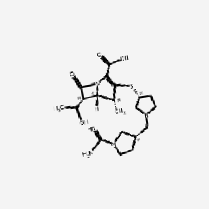 CC(O)[C@H]1C(=O)N2C(C(=O)O)=C(S[C@@H]3CCN(C[C@H]4CCN(C(=N)N)C4)C3)[C@H](C)[C@H]12